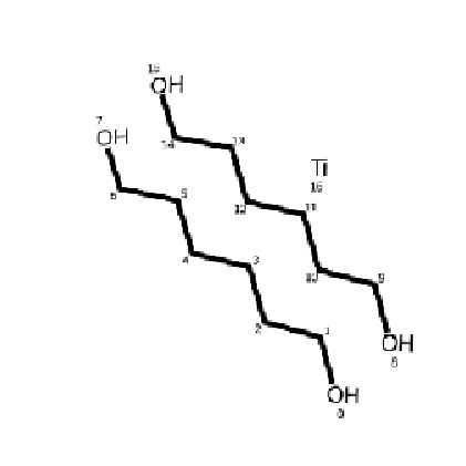 OCCCCCCO.OCCCCCCO.[Ti]